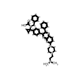 CN(C)CCN1CCN(c2ccc3nc(-c4ccccc4)c(-c4ccc(C5(N(Cc6ccccc6)C(=O)O)CC5)cc4)nc3n2)CC1